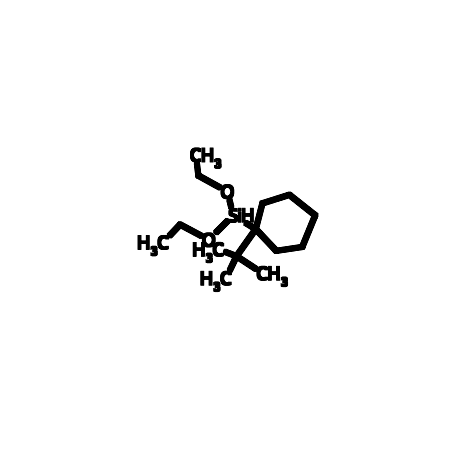 CCO[SiH](OCC)C1(C(C)(C)C)CCCCC1